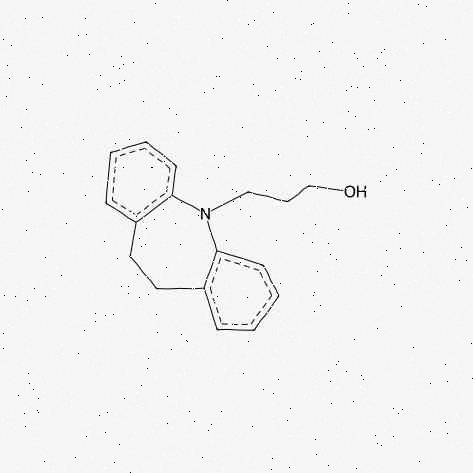 OCCCN1c2ccccc2CCc2ccccc21